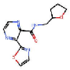 O=C(NCC1CCCO1)c1nccnc1-c1ncco1